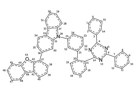 c1ccc(-c2nc(-c3ccccc3)nc(-c3ccccc3-c3cccc(-n4c5ccccc5c5ccc(-c6cccc7c6oc6ccccc67)cc54)c3)n2)cc1